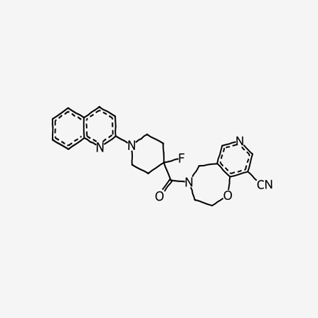 N#Cc1cncc2c1OCCN(C(=O)C1(F)CCN(c3ccc4ccccc4n3)CC1)C2